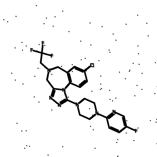 Fc1ccc(N2CCN(c3nnc4n3-c3ccc(Cl)cc3CN(CC(F)(F)F)C4)CC2)nc1